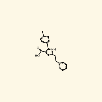 Cc1ccc(-c2[nH]c(CCc3ccccc3)nc2C(=O)O)cc1